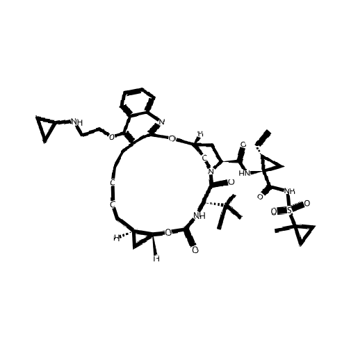 C=C[C@@H]1C[C@]1(NC(=O)[C@@H]1C[C@@H]2CN1C(=O)[C@H](C(C)(C)C)NC(=O)O[C@@H]1C[C@H]1CCCCCc1c(nc3ccccc3c1OCCNC1CC1)O2)C(=O)NS(=O)(=O)C1(C)CC1